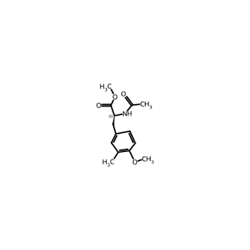 COC(=O)[C@H](Cc1ccc(OC)c(C)c1)NC(C)=O